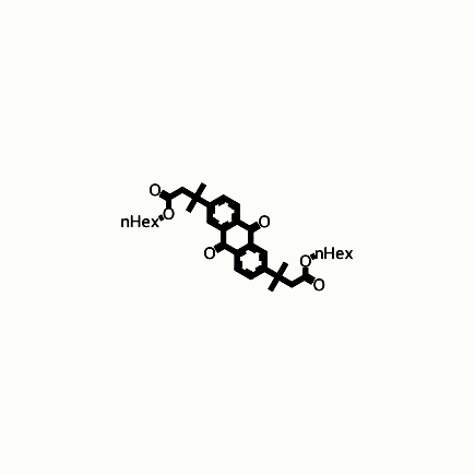 CCCCCCOC(=O)CC(C)(C)c1ccc2c(c1)C(=O)c1ccc(C(C)(C)CC(=O)OCCCCCC)cc1C2=O